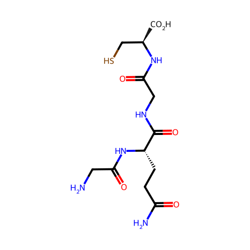 NCC(=O)N[C@@H](CCC(N)=O)C(=O)NCC(=O)N[C@@H](CS)C(=O)O